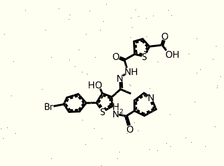 CC(=NNC(=O)c1ccc(C(=O)O)s1)c1csc(-c2ccc(Br)cc2)c1O.NC(=O)c1ccncc1